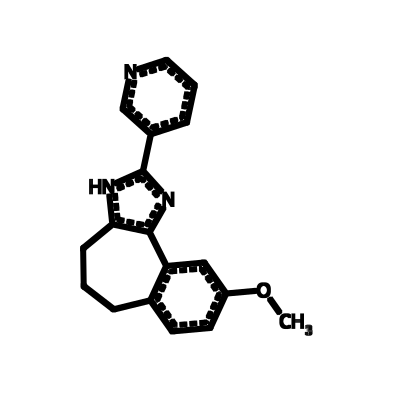 COc1ccc2c(c1)-c1nc(-c3cccnc3)[nH]c1CCC2